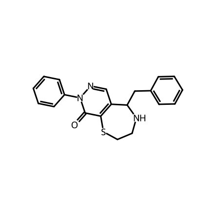 O=c1c2c(cnn1-c1ccccc1)C(Cc1ccccc1)NCCS2